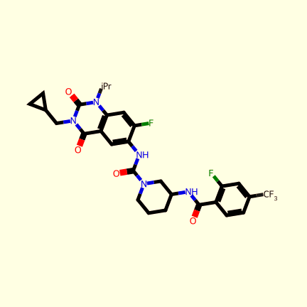 CC(C)n1c(=O)n(CC2CC2)c(=O)c2cc(NC(=O)N3CCCC(NC(=O)c4ccc(C(F)(F)F)cc4F)C3)c(F)cc21